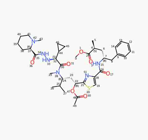 COC(=O)[C@@H](C)C[C@H](Cc1ccccc1)NC(=O)c1csc([C@@H](C[C@H](C(C)C)N(C)C(=O)[C@@H](NNC(=O)[C@H]2CCCCN2C)C2CC2)OC(C)=O)n1